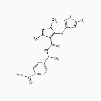 COC(=O)c1ccc(C(C)NC(=O)c2c(C(F)(F)F)nn(C)c2Oc2csc(C(F)(F)F)c2)cc1